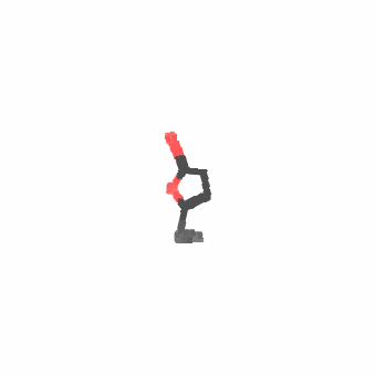 COC1=CCC(=O)O1